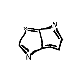 C1=NC2=CC=NC2=N1